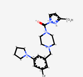 O=C(O)c1ccn(C(=O)N2CCN(Cc3cc(N4CCCC4)cc(C(F)(F)F)c3)CC2)n1